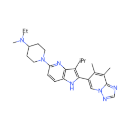 CCN(C)C1CCN(c2ccc3[nH]c(-c4cn5ncnc5c(C)c4C)c(C(C)C)c3n2)CC1